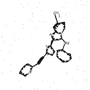 Cc1ccn2c(Nc3ccccc3)c(-c3ccc(C#Cc4ccccn4)s3)nc2c1